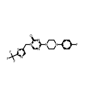 O=c1nc(N2CCN(c3ccc(F)cc3)CC2)ncn1Cc1cnc(C(F)(F)F)s1